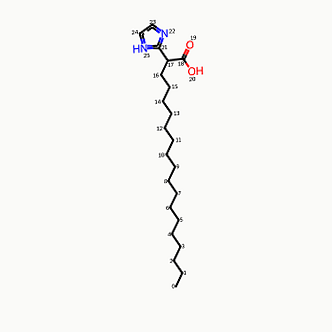 CCCCCCCCCCCCCCCCCC(C(=O)O)c1ncc[nH]1